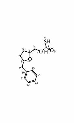 O=[PH](S)OC[C@@H]1CC[C@H](Cc2ccccc2)O1